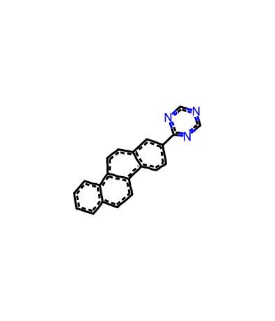 c1ccc2c(c1)ccc1c3ccc(-c4ncncn4)cc3ccc21